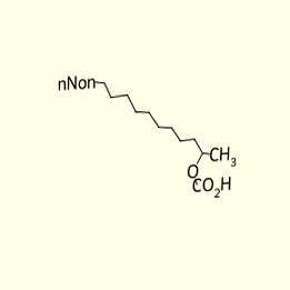 CCCCCCCCCCCCCCCCCCC(C)OC(=O)O